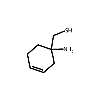 NC1(CS)CC=CCC1